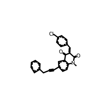 CN1C(=O)/C(=C/c2ccc(Cl)cc2)C(=O)c2cc(C#CCc3ccccc3)ccc21